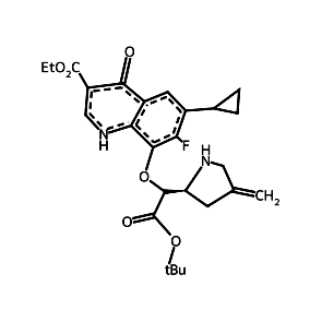 C=C1CN[C@H](C(Oc2c(F)c(C3CC3)cc3c(=O)c(C(=O)OCC)c[nH]c23)C(=O)OC(C)(C)C)C1